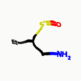 [CH2]CC(CN)[S+]=O